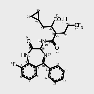 O=C1Nc2c(F)cccc2C(c2ccccc2)=NC1NC(=O)[C@H](CCC(F)(F)F)C(CC1CC1)C(=O)O